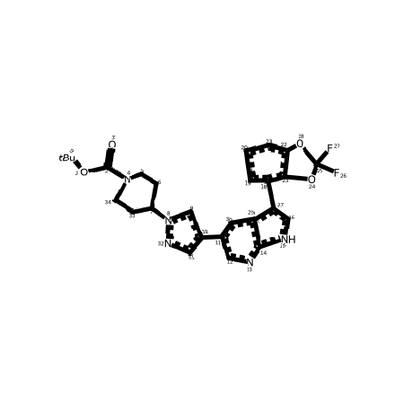 CC(C)(C)OC(=O)N1CCC(n2cc(-c3cnc4[nH]cc(-c5cccc6c5OC(F)(F)O6)c4c3)cn2)CC1